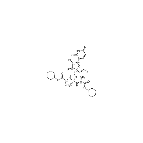 C=C[C@]1(COP(=O)(N[C@@H](C)C(=O)OC2CCCCC2)N[C@@H](C)C(=O)OC2CCCCC2)O[C@@H](n2ccc(=O)[nH]c2=O)[C@H](O)[C@@H]1F